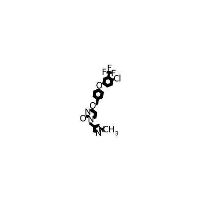 Cn1cc(Cn2ccc(OCc3ccc(Oc4ccc(Cl)c(C(F)(F)F)c4)cc3)nc2=O)cn1